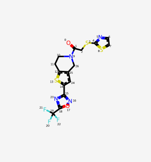 O=C(CSc1nccs1)N1CCc2sc(-c3noc(C(F)(F)F)n3)cc2C1